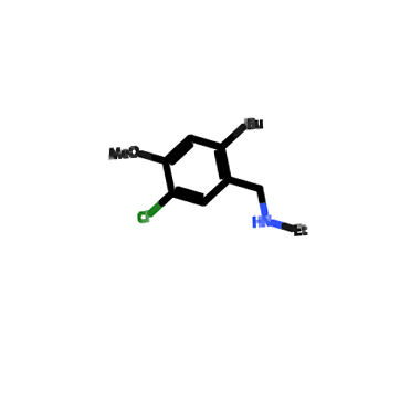 CCNCc1cc(Cl)c(OC)cc1C(C)CC